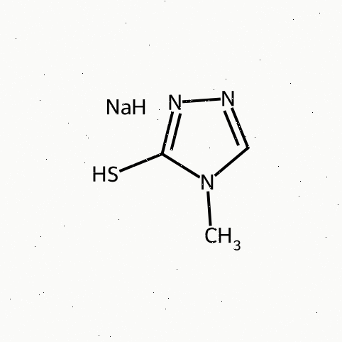 Cn1cnnc1S.[NaH]